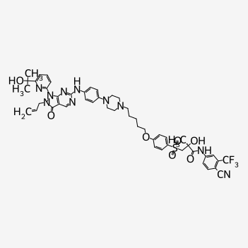 C=CCn1c(=O)c2cnc(Nc3ccc(N4CCN(CCCCCOc5ccc(S(=O)(=O)C[C@](C)(O)C(=O)Nc6ccc(C#N)c(C(F)(F)F)c6)cc5)CC4)cc3)nc2n1-c1cccc(C(C)(C)O)n1